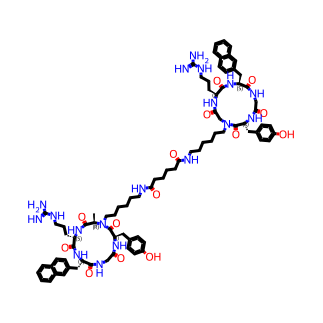 C[C@@H]1C(=O)N[C@@H](CCCNC(=N)N)C(=O)N[C@@H](Cc2ccc3ccccc3c2)C(=O)NCC(=O)N[C@H](Cc2ccc(O)cc2)C(=O)N1CCCCCCNC(=O)CCCCC(=O)NCCCCCCN1CC(=O)N[C@@H](CCCNC(=N)N)C(=O)N[C@@H](Cc2ccc3ccccc3c2)C(=O)NCC(=O)N[C@H](Cc2ccc(O)cc2)C1=O